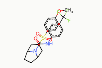 COc1ccc(S(=O)(=O)C2CC3CCC(C2)N3C(=O)Nc2ccc(C(F)(F)F)cc2)cc1